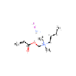 C=CC(=O)OC[N+](C)(C)CCCC.I.N.[I-]